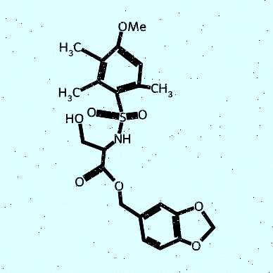 COc1cc(C)c(S(=O)(=O)NC(CO)C(=O)OCc2ccc3c(c2)OCO3)c(C)c1C